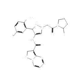 CCC1CCCN1C(=O)CN1C=C(NC(=O)C2=C3N=CC=CN3NC2)C(c2cc(Cl)ccc2OC)N1